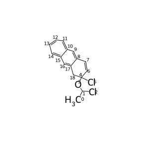 CC(Cl)OC1(Cl)C=Cc2cc3ccccc3cc2C1